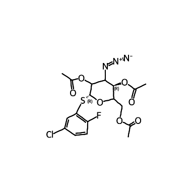 CC(=O)OCC1O[C@H](Sc2cc(Cl)ccc2F)C(OC(C)=O)C(N=[N+]=[N-])[C@H]1OC(C)=O